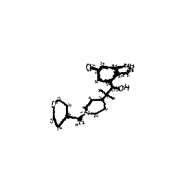 CC(C)(C1CCN(C(=O)C2CCOCC2)CC1)C(O)c1cc(Cl)cc2[nH]ncc12